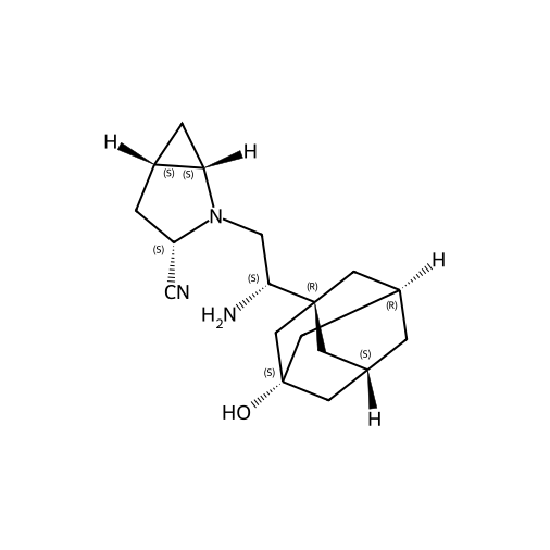 N#C[C@@H]1C[C@@H]2C[C@@H]2N1C[C@@H](N)[C@@]12C[C@@H]3C[C@@H](C[C@@](O)(C3)C1)C2